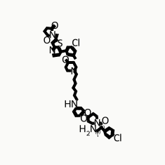 Cc1cc(Cl)cc(-c2ccnc3cc(CN4C(=O)CCC4=O)sc23)c1OC1CCN(CCCCCCCNc2ccc3c(c2)OC2(CCN(C(=O)[C@H](c4ccc(Cl)cc4)[C@H](C)N)CC2)O3)CC1